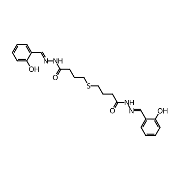 O=C(CCCSCCCC(=O)N/N=C/c1ccccc1O)N/N=C/c1ccccc1O